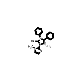 C[C@H]1C(c2ccccc2)N(c2ccccc2)C(C(C)(C)C)N1c1nccn1C